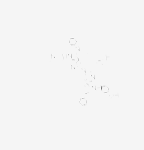 NCCCCC(NC(=O)CNC(=O)[C@@H]1CCCN1C(=O)C(Cc1ccc(O)cc1)NC(=O)C=Cc1ccccc1)C(=O)NC(Cc1ccccc1)C(N)=O.O=C(O)C(F)(F)F